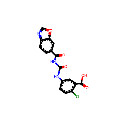 O=C(NC(=O)c1ccc2ncoc2c1)Nc1ccc(Cl)c(C(=O)O)c1